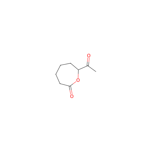 CC(=O)C1CCCCC(=O)O1